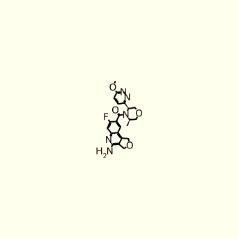 COc1ccc([C@H]2COC[C@@H](C)N2C(=O)c2cc3c4c(c(N)nc3cc2F)COC4)nn1